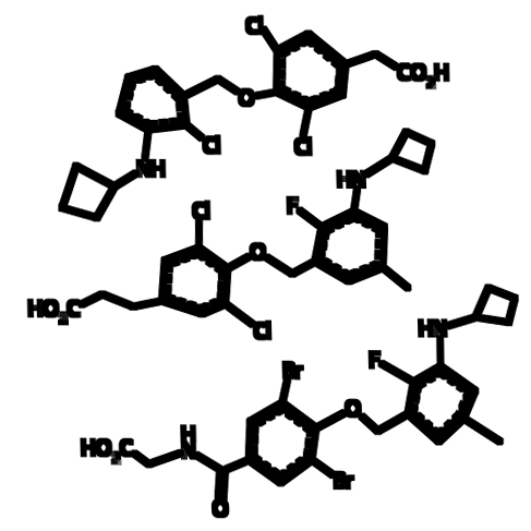 Cc1cc(COc2c(Br)cc(C(=O)NCC(=O)O)cc2Br)c(F)c(NC2CCC2)c1.Cc1cc(COc2c(Cl)cc(CCC(=O)O)cc2Cl)c(F)c(NC2CCC2)c1.O=C(O)Cc1cc(Cl)c(OCc2cccc(NC3CCC3)c2Cl)c(Cl)c1